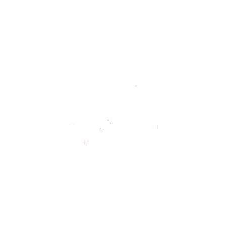 O=C(O)c1nn(-c2ccc(Cl)cc2Cl)c2c1CCCc1sc(Br)cc1-2